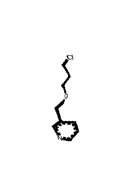 ClCCCOCc1cccnc1